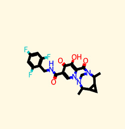 CC1C2CC2C(C)N2CN1C(=O)c1c(O)c(=O)c(C(=O)NCc3c(F)cc(F)cc3F)cn12